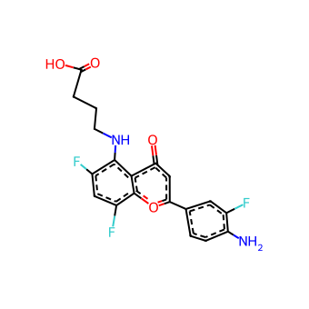 Nc1ccc(-c2cc(=O)c3c(NCCCC(=O)O)c(F)cc(F)c3o2)cc1F